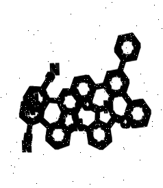 N#Cc1ccncc1-c1cccc2c1c1c(-c3cnccc3C#N)cccc1n2-c1cccc2c1C(=O)N(c1c(-c3ccccc3)cc(-c3ccccc3)cc1-c1ccccc1)C2=O